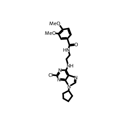 COc1ccc(C(=O)NCCNc2nc(Cl)nc3c2ncn3C2CCCC2)cc1OC